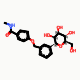 CNC(=O)c1ccc(OCc2cccc([C@H]3O[C@H](CO)[C@@H](O)[C@H](O)[C@@H]3O)c2)cc1